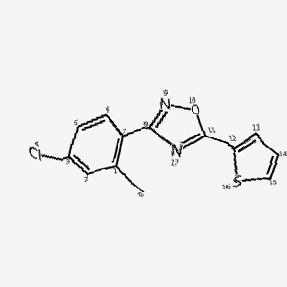 Cc1cc(Cl)ccc1-c1noc(-c2cccs2)n1